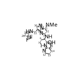 CNc1cc(NC2=CC=CN(c3ncccc3F)C2O)nc2c(CNC3CCC3(F)F)cnn12